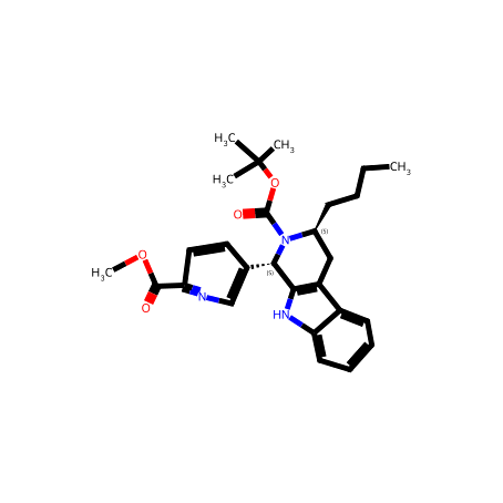 CCCC[C@H]1Cc2c([nH]c3ccccc23)[C@H](c2ccc(C(=O)OC)nc2)N1C(=O)OC(C)(C)C